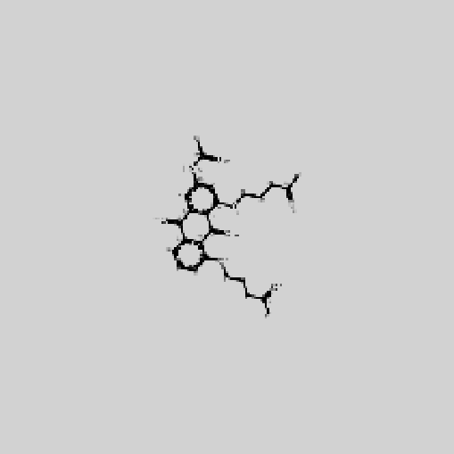 CC(=O)CCCOc1cccc2c1C(=O)c1c(OCCCC(C)=O)cc(NC(C)=O)cc1C2=O